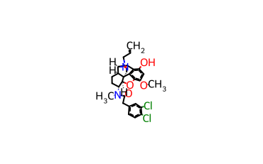 C=CCN1CC[C@]23c4c5c(O)cc(OC)c4O[C@H]2[C@H](N(C)C(=O)Cc2ccc(Cl)c(Cl)c2)CC[C@H]3[C@H]1C5